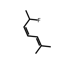 CC(C)=C/C=C\C(C)F